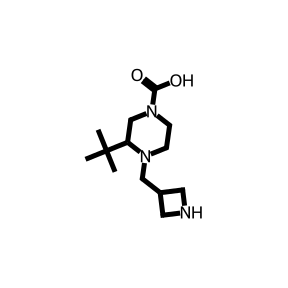 CC(C)(C)C1CN(C(=O)O)CCN1CC1CNC1